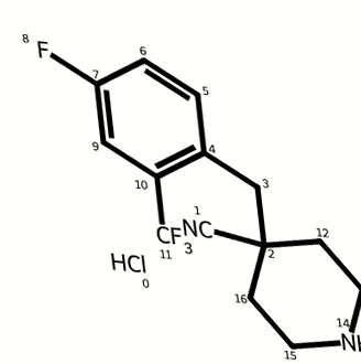 Cl.N#CC1(Cc2ccc(F)cc2C(F)(F)F)CCNCC1